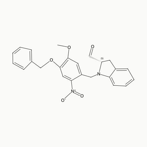 COc1cc(CN2c3ccccc3C[C@H]2C=O)c([N+](=O)[O-])cc1OCc1ccccc1